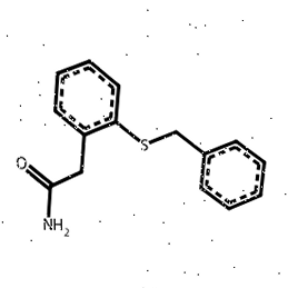 NC(=O)Cc1ccccc1SCc1ccccc1